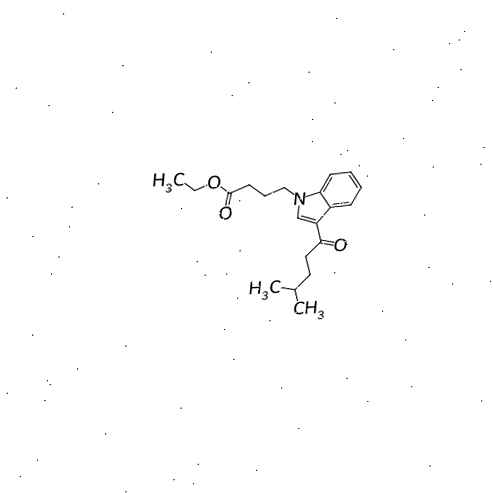 CCOC(=O)CCCn1cc(C(=O)CCC(C)C)c2ccccc21